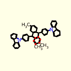 Cc1ccc2c(c1)C1(c3ccc(-n4c5ccccc5c5ccccc54)cc3)c3ccc(C)cc3C2(c2ccc(-n3c4ccccc4c4ccccc43)cc2)c2cc(C)ccc21